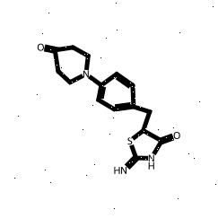 N=C1NC(=O)C(Cc2ccc(N3CCC(=O)CC3)cc2)S1